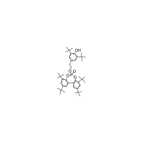 CC(C)(C)c1cc2c(c(C(C)(C)C)c1)OP(=O)(OCCc1cc(C(C)(C)C)c(O)c(C(C)(C)C)c1)Oc1c-2cc(C(C)(C)C)cc1C(C)(C)C